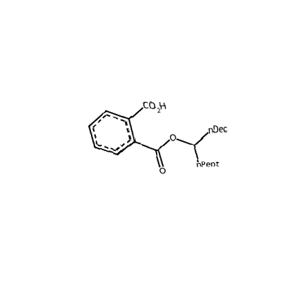 CCCCCCCCCCC(CCCCC)OC(=O)c1ccccc1C(=O)O